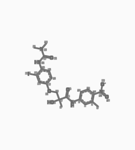 Cc1cc(NC(=O)C(C)(O)COc2ccc(NC(=O)N(C)C)c(F)c2)ccc1[N+](=O)[O-]